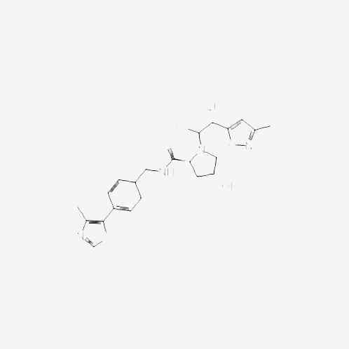 CC[C@H](c1cc(C)no1)C(O)N1C[C@H](O)C[C@H]1C(=O)NCC1C=CC(c2ocnc2C)=CC1